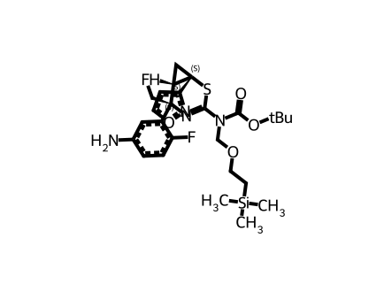 CC(C)(C)OC(=O)N(COCC[Si](C)(C)C)C1=N[C@](CF)(c2cc(N)ccc2F)[C@@H]2C[C@]2(c2ccon2)S1